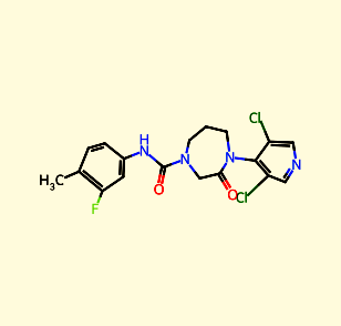 Cc1ccc(NC(=O)N2CCCN(c3c(Cl)cncc3Cl)C(=O)C2)cc1F